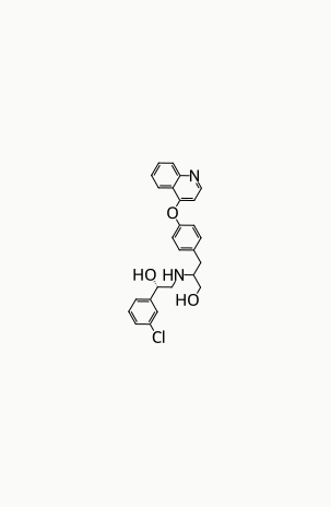 OCC(Cc1ccc(Oc2ccnc3ccccc23)cc1)NC[C@@H](O)c1cccc(Cl)c1